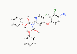 Nc1ccc(Oc2ccnc(N(C(=O)Oc3ccccc3)C(=O)Oc3ccccc3)c2)c(Cl)c1Cl